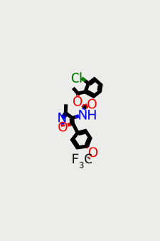 Cc1noc(-c2ccc(OC(F)(F)F)cc2)c1NC(=O)OC(C)c1ccccc1Cl